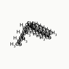 CC(C)(C)O.CCOC(C)=O.CCOC(C)=O.CCOC(C)=O.CCOC(C)=O.CCOC(C)=O.CCOC(C)=O.CCOC(C)=O.CCOC(C)=O.CCOC(C)=O